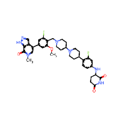 COc1cc(-c2cn(C)c(=O)c3[nH]ncc23)cc(F)c1CN1CCC(N2CCC(c3ccc(NC4CCC(=O)NC4=O)cc3F)CC2)CC1